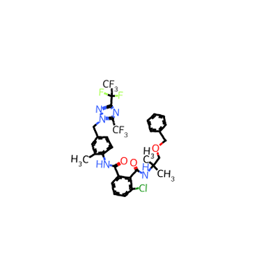 Cc1cc(Cn2nc(C(F)(F)C(F)(F)F)nc2C(F)(F)F)ccc1NC(=O)c1cccc(Cl)c1C(=O)NC(C)(C)COCc1ccccc1